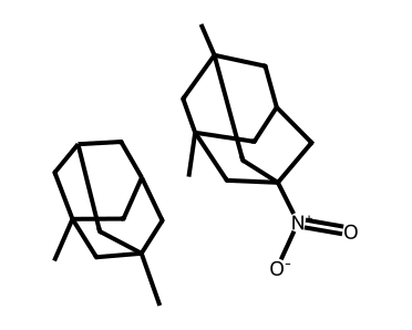 CC12CC3CC(C)(C1)CC([N+](=O)[O-])(C3)C2.CC12CC3CC(C1)CC(C)(C3)C2